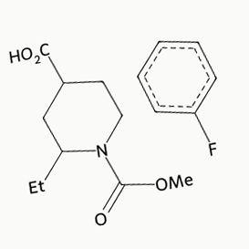 CCC1CC(C(=O)O)CCN1C(=O)OC.Fc1ccccc1